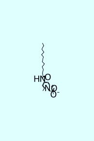 CCCCCCCCCCCC(=O)Nc1cc[n+](CC(=O)[O-])c(C)c1